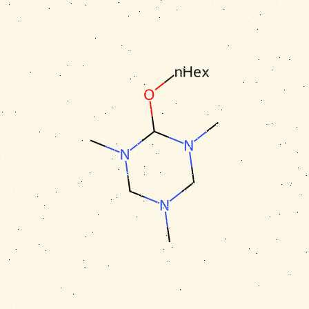 CCCCCCOC1N(C)CN(C)CN1C